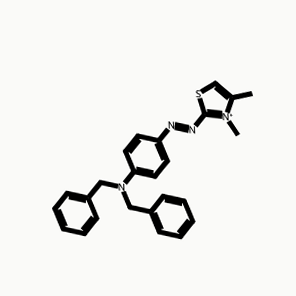 Cc1csc(N=Nc2ccc(N(Cc3ccccc3)Cc3ccccc3)cc2)[n+]1C